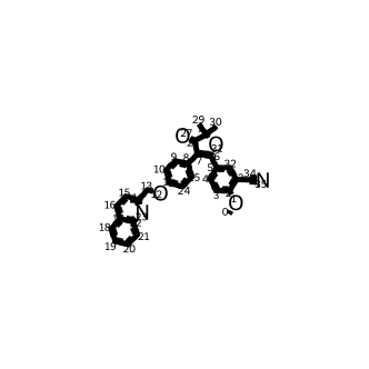 COc1ccc(C2=C(c3ccc(OCc4ccc5ccccc5n4)cc3)C(=O)C(C)(C)O2)cc1C#N